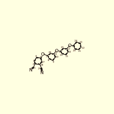 N#Cc1ccc(Oc2cccc(Oc3cccc(Oc4ccccc4)c3)c2)cc1C#N